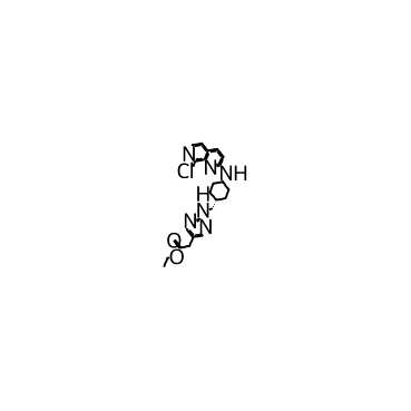 CCOC(=O)Cc1cnc(NC[C@H]2CC[C@H](Nc3ccc4ccnc(Cl)c4n3)CC2)nc1